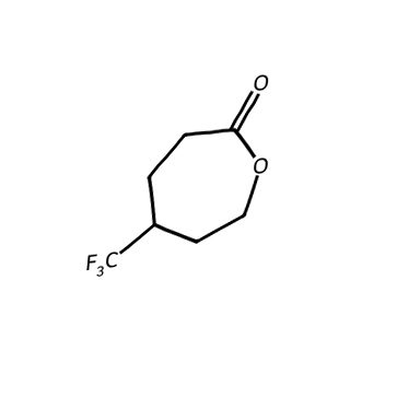 O=C1CCC(C(F)(F)F)CCO1